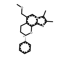 COCc1cn2c(C)c(C)nc2c2c1CC[C@@H](c1ccccc1)O2